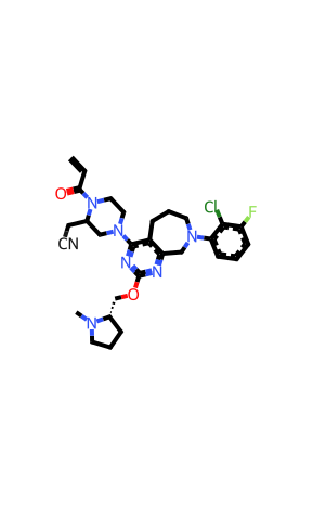 C=CC(=O)N1CCN(c2nc(OC[C@@H]3CCCN3C)nc3c2CCCN(c2cccc(F)c2Cl)C3)CC1CC#N